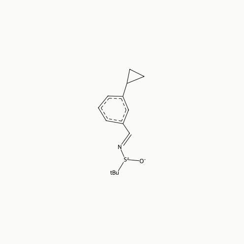 CC(C)(C)[S+]([O-])/N=C/c1cccc(C2CC2)c1